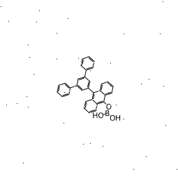 OB(O)Oc1c2ccccc2c(-c2cc(-c3ccccc3)cc(-c3ccccc3)c2)c2ccccc12